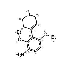 CCOc1ccc(N)c(OCC)c1C1=CCOCC1